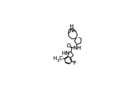 Cc1ccc(F)c2c1NC(C(=O)NC1CCC[C@@]3(CCC4CCC(C3)N4)C1)C2